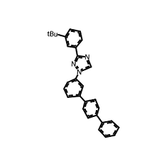 CC(C)(C)c1cccc(-c2ncn(-c3cccc(-c4ccc(-c5ccccc5)cc4)c3)n2)c1